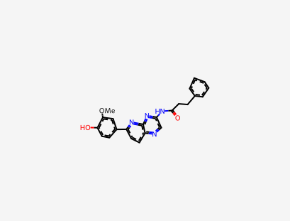 COc1cc(-c2ccc3ncc(NC(=O)CCc4ccccc4)nc3n2)ccc1O